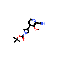 COc1c(C2CN(C(=O)OC(C)(C)C)C2)ccnc1C#N